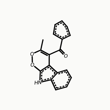 CC1=C(C(=O)c2ccccc2)c2c([nH]c3ccccc23)OO1